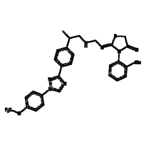 CC(CNC/N=C1\SCC(=O)N1c1ccccc1C(C)(C)C)c1ccc(-c2ncn(-c3ccc(OC(F)(F)F)cc3)n2)cc1